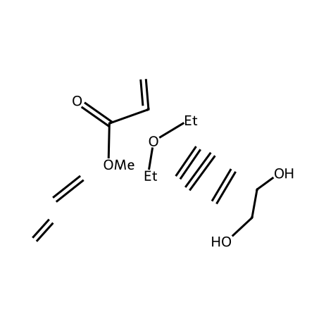 C=C.C=C.C=C.C=C.C=C.C=CC(=O)OC.CCOCC.OCCO